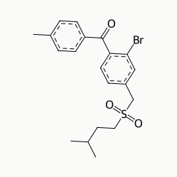 Cc1ccc(C(=O)c2ccc(CS(=O)(=O)CCC(C)C)cc2Br)cc1